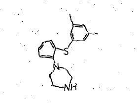 Cc1cc(C)cc(Sc2ccccc2N2CCNCC2)c1